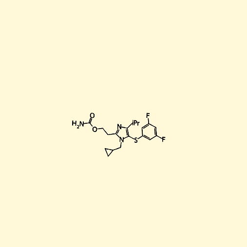 CC(C)c1nc(CCOC(N)=O)n(CC2CC2)c1Sc1cc(F)cc(F)c1